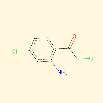 Nc1cc(Cl)ccc1C(=O)CCl